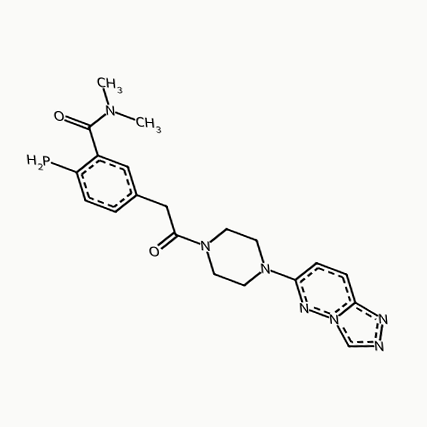 CN(C)C(=O)c1cc(CC(=O)N2CCN(c3ccc4nncn4n3)CC2)ccc1P